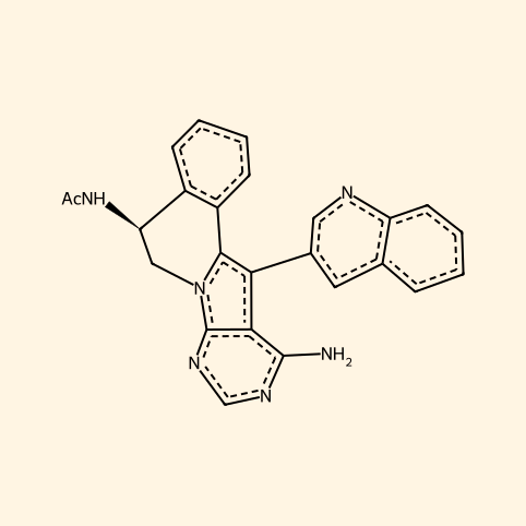 CC(=O)N[C@@H]1Cn2c(c(-c3cnc4ccccc4c3)c3c(N)ncnc32)-c2ccccc21